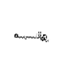 Oc1ccc(C(O)CNCCCCCCOCCCCc2ccccc2)c2c1N=CCO2